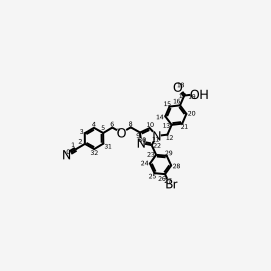 N#Cc1ccc(COCc2cn(Cc3ccc(C(=O)O)cc3)c(-c3ccc(Br)cc3)n2)cc1